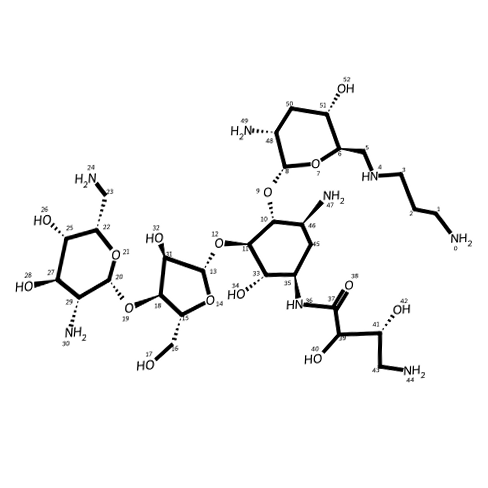 NCCCNC[C@H]1O[C@H](O[C@H]2[C@H](O[C@@H]3O[C@H](CO)[C@@H](O[C@H]4O[C@@H](CN)[C@@H](O)[C@H](O)[C@H]4N)[C@H]3O)[C@@H](O)[C@H](NC(=O)C(O)[C@H](O)CN)C[C@@H]2N)[C@H](N)C[C@@H]1O